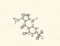 CSc1noc(C2CC2)c1C(=O)c1ccc(S(C)(=O)=O)cc1Cl